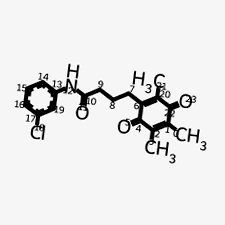 CC1=C(C)C(=O)C(CCCC(=O)Nc2cccc(Cl)c2)=C(C)C1=O